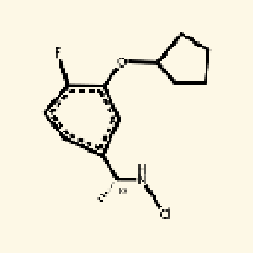 C[C@@H](NCl)c1ccc(F)c(OC2CCCC2)c1